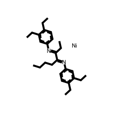 CCCCC(=N\c1ccc(CC)c(CC)c1)/C(CC)=N/c1ccc(CC)c(CC)c1.[Ni]